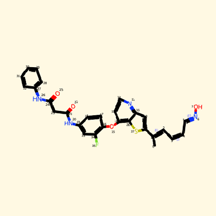 C\C(=C/C=C\C=N\O)c1cc2nccc(Oc3ccc(NC(=O)CC(=O)Nc4ccccc4)cc3F)c2s1